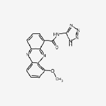 COc1cccc2nc3cccc(C(=O)Nc4nnn[nH]4)c3nc12